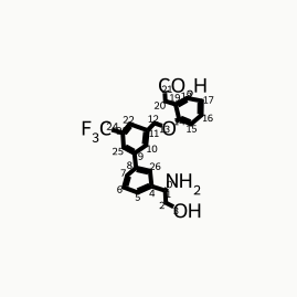 NC(CO)c1cccc(-c2cc(COc3ccccc3CC(=O)O)cc(C(F)(F)F)c2)c1